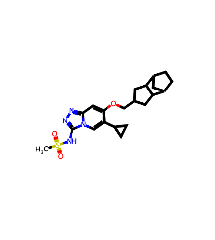 CS(=O)(=O)Nc1nnc2cc(OCC3CC4C5CCC(C5)C4C3)c(C3CC3)cn12